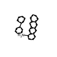 Nc1cccc2cc3cc4ccccc4cc3cc12.c1ccc(-c2ccccc2)cc1